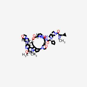 CCN1[C@H](C2CC2)[C@@H]1C(=O)N1CC[C@]2(CCN([C@H](C(=O)N[C@H]3C[C@H]4CN(CCO4)c4ccc5c(c4)c(c(-c4cc(N6CCN7CCOC[C@@H]7C6)cnc4[C@H](C)OC)n5CC)CC(C)(C)COC(=O)[C@@H]4CCCN(N4)C3=O)C3CCCC3)C2)C1